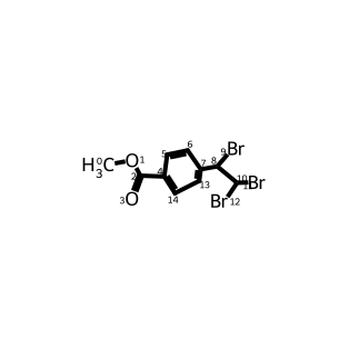 COC(=O)c1ccc(C(Br)C(Br)Br)cc1